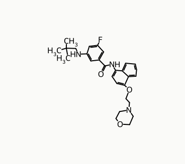 CC(C)(C)CNc1cc(F)cc(C(=O)Nc2ccc(OCCN3CCOCC3)c3ccccc23)c1